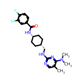 Cc1cnc(NC[C@H]2CC[C@@H](NC(=O)c3ccc(F)c(F)c3)CC2)nc1N(C)C